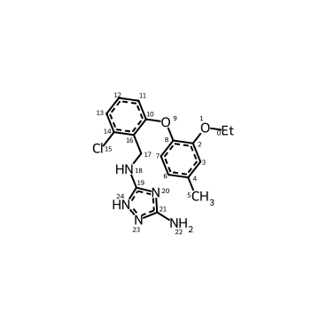 CCOc1cc(C)ccc1Oc1cccc(Cl)c1CNc1nc(N)n[nH]1